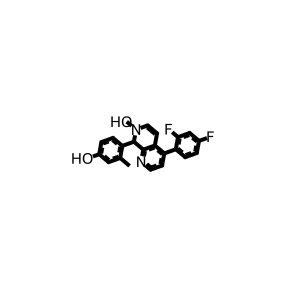 Cc1cc(O)ccc1C1c2nccc(-c3ccc(F)cc3F)c2C=CN1O